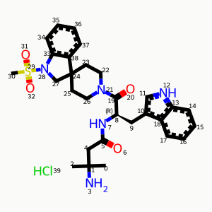 CC(C)(N)CC(=O)N[C@H](Cc1c[nH]c2ccccc12)C(=O)N1CCC2(CC1)CN(S(C)(=O)=O)c1ccccc12.Cl